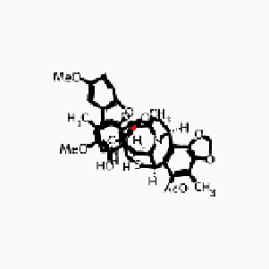 COc1ccc2oc3c(c2c1)CCN[C@]31CS[C@@H]2c3c(OC(C)=O)c(C)c4c(c3[C@H](COC1=O)N1[C@@H]2[C@H]2c3c(cc(C)c(OC)c3O)CC1(C)CN2C)OCO4